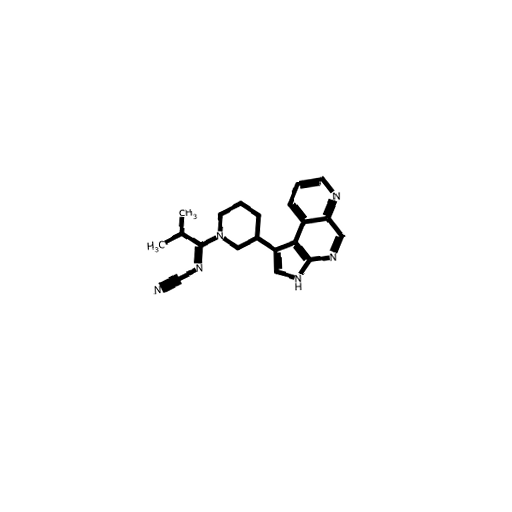 CC(C)C(=NC#N)N1CCCC(c2c[nH]c3ncc4ncccc4c23)C1